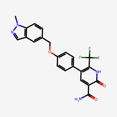 Cn1ncc2cc(COc3ccc(-c4cc(C(N)=O)c(=O)[nH]c4C(F)(F)F)cc3)ccc21